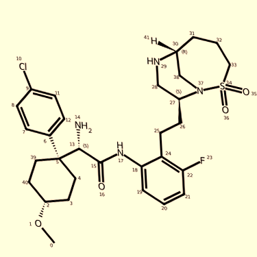 CO[C@H]1CC[C@](c2ccc(Cl)cc2)([C@H](N)C(=O)Nc2cccc(F)c2CC[C@H]2CN[C@@H]3CCCS(=O)(=O)N2C3)CC1